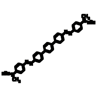 CCCCN(C)c1ccc(/N=N/c2ccc(-c3ccc(-c4ccc(/N=N/c5ccc(N(C)CCCC)cc5)cc4)cc3)cc2)cc1